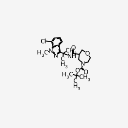 Cn1nc(C(C)(C)NC(=O)C2COCCN(C(=O)OC(C)(C)C)C2)c2cccc(Cl)c21